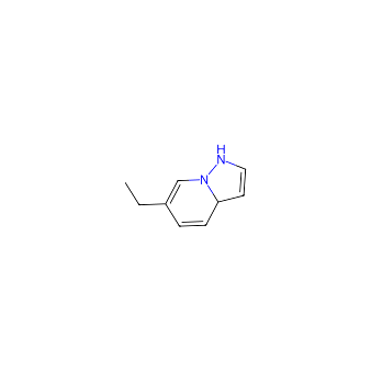 CCC1=CN2NC=CC2C=C1